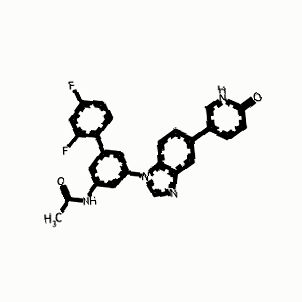 CC(=O)Nc1cc(-c2ccc(F)cc2F)cc(-n2cnc3cc(-c4ccc(=O)[nH]c4)ccc32)c1